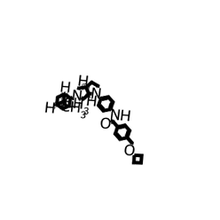 CC1(C)[C@@H]2CCC(N3C[C@H]4CCN(c5ccc(NC(=O)c6ccc(COC7CCC7)cc6)cc5)[C@H]4C3)[C@@H]1C2